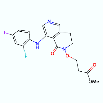 COC(=O)CCON1CCc2cncc(Nc3ccc(I)cc3F)c2C1=O